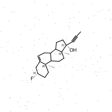 CC#C[C@]1(O)CCC2C3CC=C4C[C@@H](F)CC[C@]4(C)C3CC[C@@]21C